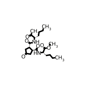 CCCC[C@H](NC(=O)[C@H]1CC(=O)C[C@@H]1C(=O)N[C@@H](CCCC)C(=O)OC)C(C)=O